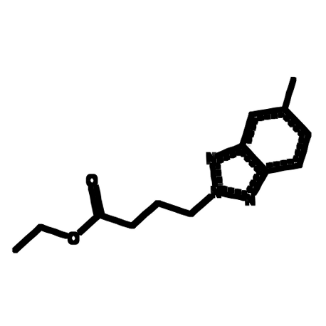 CCOC(=O)CCCn1nc2ccc(C)cc2n1